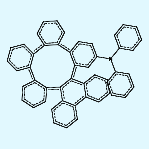 c1ccc(N(c2ccccc2)c2ccc3c4ccccc4c4ccccc4c4ccccc4c4c5ccccc5c5ccccc5c4c3c2)cc1